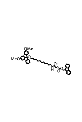 COc1ccc(C(OCCCCCCCCCCCCNC(=O)CNC(=O)OCC2c3ccccc3-c3ccccc32)(c2ccccc2)c2ccc(OC)cc2)cc1